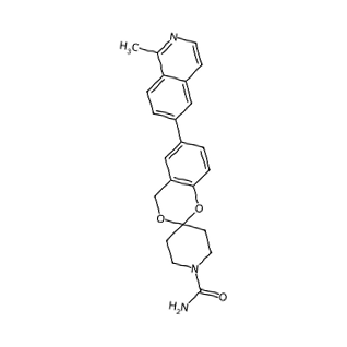 Cc1nccc2cc(-c3ccc4c(c3)COC3(CCN(C(N)=O)CC3)O4)ccc12